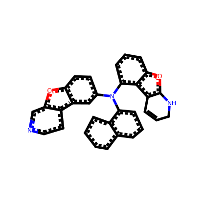 C1=Cc2c(oc3cccc(N(c4ccc5oc6cnccc6c5c4)c4cccc5ccccc45)c23)NC1